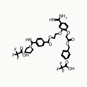 N=C(N)c1ccc(OCC(=O)OCc2ccccc2)c(OCCOC(=O)c2ccc(C(=N)N3CCCC3)cc2)c1.O=C(O)C(F)(F)F.O=C(O)C(F)(F)F